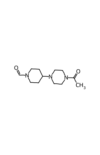 CC(=O)N1CCN(C2CCN(C=O)CC2)CC1